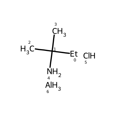 CCC(C)(C)N.Cl.[AlH3]